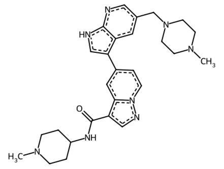 CN1CCC(NC(=O)c2cnn3ccc(-c4c[nH]c5ncc(CN6CCN(C)CC6)cc45)cc23)CC1